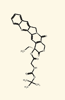 CC[C@@]1(OC(=O)CNC(=O)OC(C)(C)C)C(=O)OCc2c1cc1n(c2=O)Cc2cc3ccccc3nc2-1